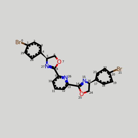 Brc1ccc([C@H]2COC(c3cccc(C4=N[C@@H](c5ccc(Br)cc5)CO4)n3)=N2)cc1